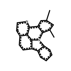 Cc1cc(C)c2c(c1)c1nccc3ccc4c5ccccc5n2c4c31